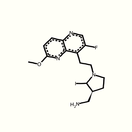 COc1ccc2ncc(F)c(CCN3CC[C@@H](CN)C3I)c2n1